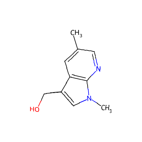 Cc1cnc2c(c1)c(CO)cn2C